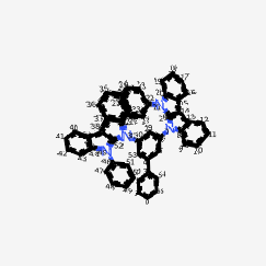 c1ccc(-c2cc(-n3c4ccccc4c4c5ccccc5n(-c5ccccc5)c43)cc(-n3c4ccccc4c4c5ccccc5n(-c5ccccc5)c43)c2)cc1